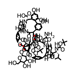 CC(C)C[C@@H](NC(=O)OC(C)(C)C)C(=O)N[C@H]1C(=O)N[C@@H](CC(N)=O)C(=O)N[C@H]2C(=O)N[C@H]3C(=O)N[C@H](C(=O)N[C@H](C(=O)O)c4cc(O)cc(O)c4-c4cc3ccc4O)[C@H](O)c3ccc(c(Cl)c3)Oc3cc2cc(c3OC2OC(CO)C(O)C(O)C2OC2CC(C)(NC(=O)OC(C)(C)C)C(O)C(C)O2)Oc2ccc(cc2Cl)[C@H]1O